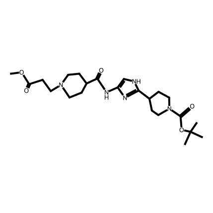 COC(=O)CCN1CCC(C(=O)Nc2c[nH]c(C3CCN(C(=O)OC(C)(C)C)CC3)n2)CC1